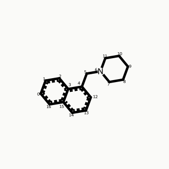 c1ccc2c(CN3CCCCC3)cccc2c1